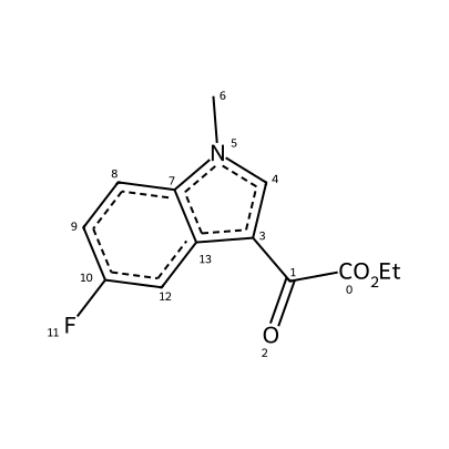 CCOC(=O)C(=O)c1cn(C)c2ccc(F)cc12